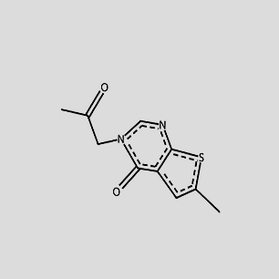 CC(=O)Cn1cnc2sc(C)cc2c1=O